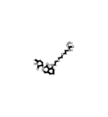 C=C1CCC(n2ncc3cccc(NCCOCCOCCNC(=O)OC(C)(C)C)c3c2=O)C(=O)N1